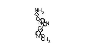 COc1nccc2oc(-c3cnc4ccc(OC5CC(N)C5)nn34)cc12